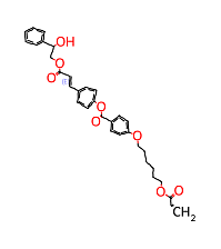 C=CC(=O)OCCCCCCOc1ccc(C(=O)Oc2ccc(/C=C/C(=O)OCC(O)c3ccccc3)cc2)cc1